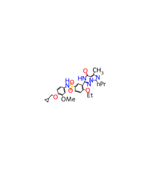 CCCc1nc(C)c2c(=O)[nH]c(-c3cc(S(=O)(=O)Nc4ccc(OCC5CC5)c(OC)c4)ccc3OCC)nn12